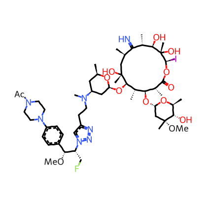 CO[C@H](c1ccc(N2CCN(C(C)=O)CC2)cc1)[C@@H](CF)n1cc(CCN(C)[C@@H]2C[C@H](O[C@@H]3[C@@H](C)[C@H](O[C@H]4C[C@@](C)(OC)[C@@H](O)[C@H](C)O4)[C@@H](C)C(=O)O[C@H](I)[C@@](C)(O)[C@H](O)[C@@H](C)C(=N)[C@H](C)C[C@@]3(C)O)O[C@H](C)C2)nn1